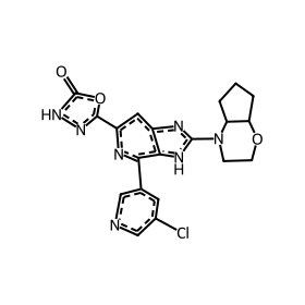 O=c1[nH]nc(-c2cc3nc(N4CCOC5CCCC54)[nH]c3c(-c3cncc(Cl)c3)n2)o1